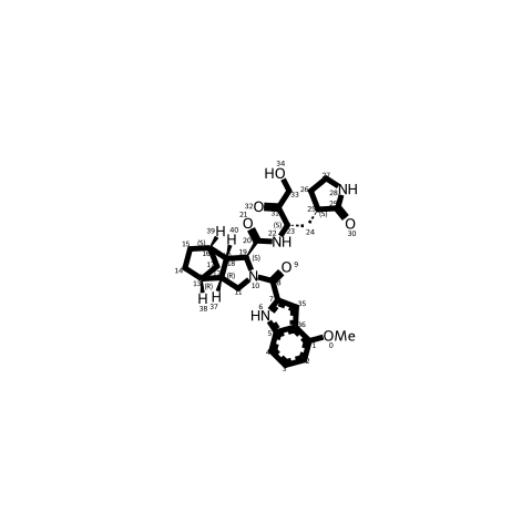 COc1cccc2[nH]c(C(=O)N3C[C@@H]4[C@@H]5CC[C@@H](C5)[C@@H]4[C@H]3C(=O)N[C@@H](C[C@@H]3CCNC3=O)C(=O)CO)cc12